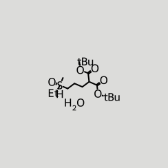 CC[SH](C)(=O)CCCC(C(=O)OC(C)(C)C)C(=O)OC(C)(C)C.O